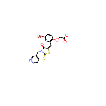 O=C(O)COc1ccc(Br)cc1/C=C1/SC(=S)N(Cc2cccnc2)C1=O